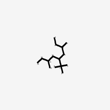 [CH2]C(C)(C)C(CC(C)CC)CC(C)CC